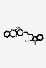 Cc1[nH]c2ccccc2c1CCCN1CCC2(CC1)OCc1ccccc1OC2C